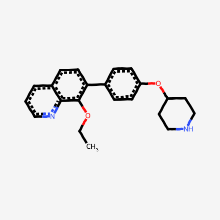 CCOc1c(-c2ccc(OC3CCNCC3)cc2)ccc2cccnc12